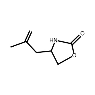 C=C(C)CC1COC(=O)N1